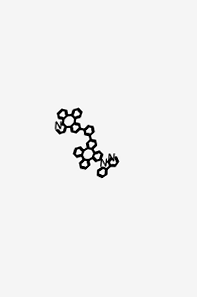 c1cc(-c2ccc3c(c2)-c2ccccc2-c2ccccc2-c2cc(-n4c5ccccc5c5cccnc54)ccc2-3)cc(-c2ccc3c(c2)-c2ccccc2-c2ccccc2-c2ncccc2-3)c1